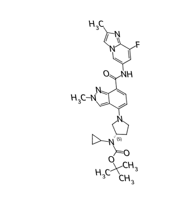 Cc1cn2cc(NC(=O)c3ccc(N4CC[C@H](N(C(=O)OC(C)(C)C)C5CC5)C4)c4cn(C)nc34)cc(F)c2n1